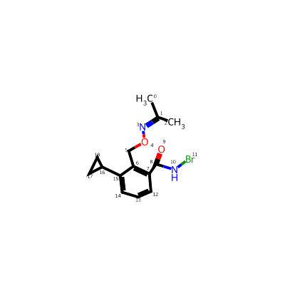 CC(C)=NOCc1c(C(=O)NBr)cccc1C1CC1